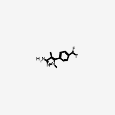 Cc1c(N)nn(C)c1-c1ccc(C(F)F)cc1